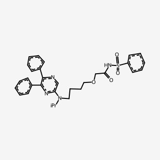 CC(C)N(CCCCOCC(=O)NS(=O)(=O)c1ccccc1)c1cnc(-c2ccccc2)c(-c2ccccc2)n1